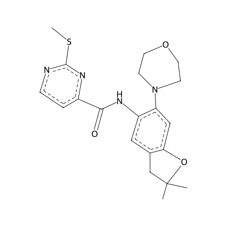 CSc1nccc(C(=O)Nc2cc3c(cc2N2CCOCC2)OC(C)(C)C3)n1